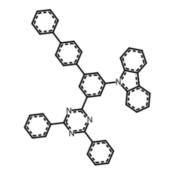 c1ccc(-c2ccc(-c3cc(-c4nc(-c5ccccc5)nc(-c5ccccc5)n4)cc(-n4c5ccccc5c5ccccc54)c3)cc2)cc1